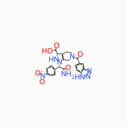 NC(=O)C(c1ccc([N+](=O)[O-])cc1)N1NC(C(=O)O)C2=C1CN(C(=O)c1ccc3[nH]nnc3c1)CC2